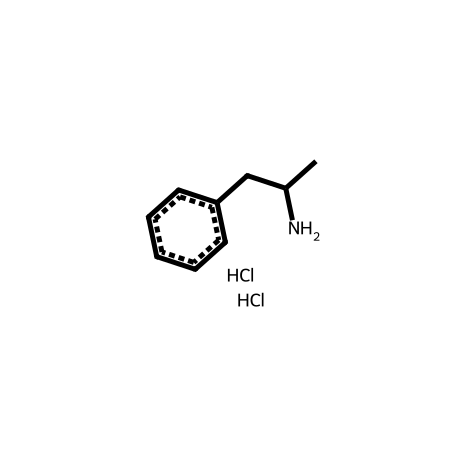 CC(N)Cc1ccccc1.Cl.Cl